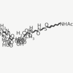 CC(=O)NCCCCC=CC(=O)SCCNC(=O)CCNC(=O)[C@H](O)C(C)(C)COP(=O)(O)OP(=O)(O)OC[C@H]1O[C@@H](n2cnc3c(N)ncnc32)[C@H](O)[C@@H]1OP(=O)(O)O